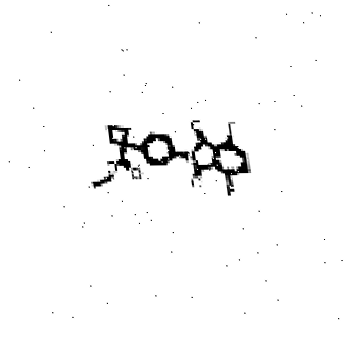 CCOC(=O)C1(c2ccc(N3C(=O)c4c(F)ccc(F)c4C3=O)cc2)CCC1